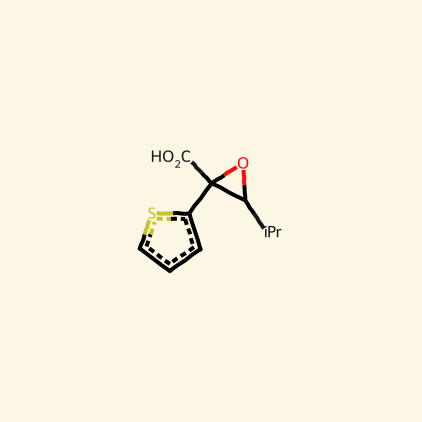 CC(C)C1OC1(C(=O)O)c1cccs1